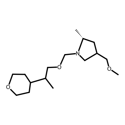 COCC1C[C@@H](C)N(COCC(C)C2CCOCC2)C1